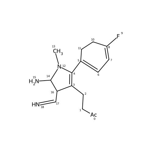 CC(=O)CCC1=C(C2=CC=C(F)CC2)N(C)C(N)C1C=N